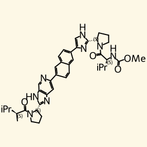 COC(=O)N[C@H](C(=O)N1CCC[C@H]1c1nc(-c2ccc3cc(-c4cc5nc([C@@H]6CCCN6C(=O)[C@@H](C)C(C)C)[nH]c5cn4)ccc3c2)c[nH]1)C(C)C